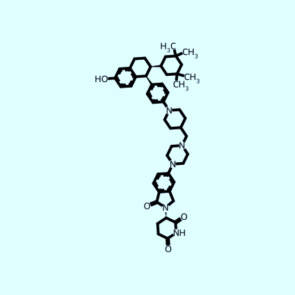 CC1(C)CC([C@@H]2CCc3cc(O)ccc3[C@@H]2c2ccc(N3CCC(CN4CCN(c5ccc6c(c5)CN([C@H]5CCC(=O)NC5=O)C6=O)CC4)CC3)cc2)CC(C)(C)C1